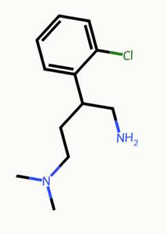 CN(C)CCC(CN)c1ccccc1Cl